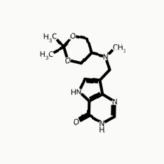 CN(Cc1c[nH]c2c(=O)[nH]cnc12)C1COC(C)(C)OC1